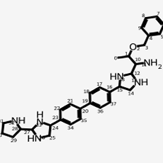 CC(OCc1ccccc1)C(N)C1NCC(c2ccc(-c3ccc(C4CNC(C5CCCN5)N4)cc3)cc2)N1